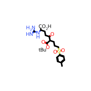 Cc1ccc(S(=O)(=O)CCCC(C(=O)CCC(NC(=N)N)C(=O)O)C(=O)OC(C)(C)C)cc1